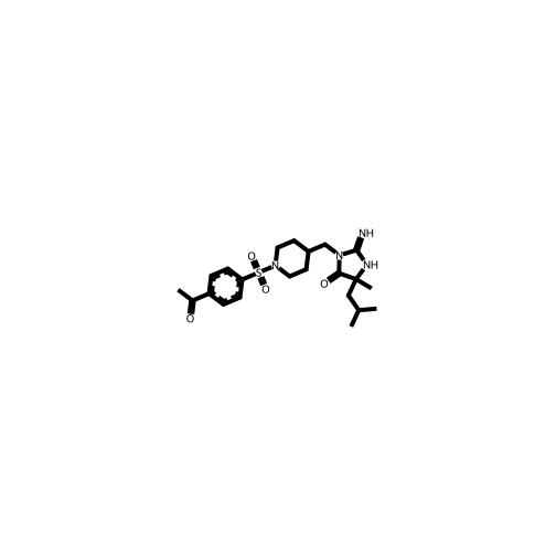 CC(=O)c1ccc(S(=O)(=O)N2CCC(CN3C(=N)NC(C)(CC(C)C)C3=O)CC2)cc1